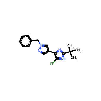 CC(C)(C)c1nc(-c2cnn(Cc3ccccc3)c2)c(Cl)[nH]1